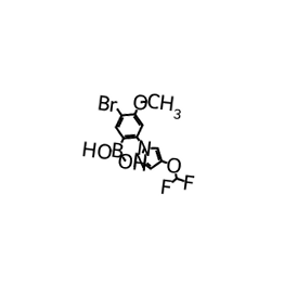 COc1cc(-n2cc(OC(F)F)cn2)c(B(O)O)cc1Br